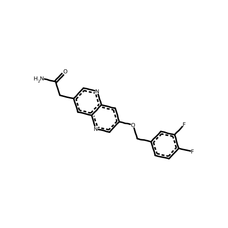 NC(=O)Cc1cnc2cc(OCc3ccc(F)c(F)c3)cnc2c1